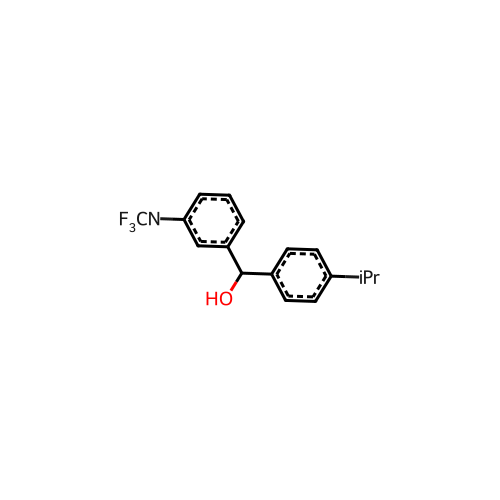 CC(C)c1ccc(C(O)c2cccc(NC(F)(F)F)c2)cc1